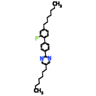 CCCCCCCc1cnc(-c2ccc(-c3ccc(CCCCCCC)cc3F)cc2)nc1